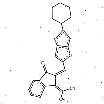 N#CC(C#N)=C1/C(=C/c2cc3sc(C4CCCCC4)nc3o2)C(=O)c2ccccc21